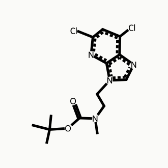 CN(CCn1cnc2c(Cl)cc(Cl)nc21)C(=O)OC(C)(C)C